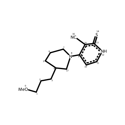 COCCCC1CCCN(c2cc[nH]c(=S)c2C#N)C1